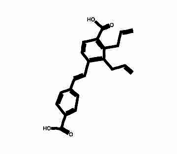 C=CCc1c(C=Cc2ccc(C(=O)O)cc2)ccc(C(=O)O)c1CC=C